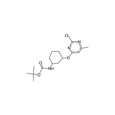 Cc1cc(OC2CCCC(NC(=O)OC(C)(C)C)C2)nc(Cl)n1